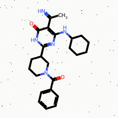 CC(=N)c1c(NC2CCCCC2)nc(C2CCCN(C(=O)c3ccccc3)C2)[nH]c1=O